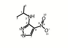 CC(C)NC1=N[N]C=C1[N+](=O)[O-]